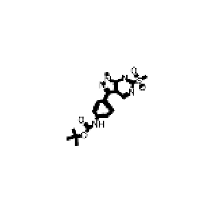 Cn1nc(-c2ccc(NC(=O)OC(C)(C)C)cc2)c2cnc(S(C)(=O)=O)nc21